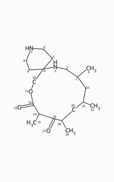 CC1CNC2(CCNCC2)COC(=O)C(C)C(=O)C(C)CC(C)C1